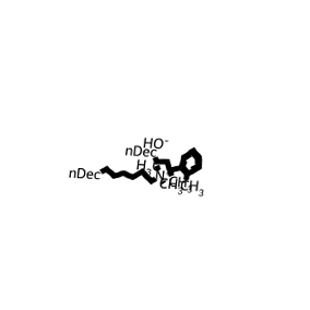 CCCCCCCCCCCCCCCC[N+](C)(C)C(C)(CCCCCCCCCCCC)c1ccccc1C.[OH-]